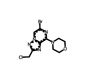 ClCc1nc2c(N3CCOCC3)nc(Br)cn2n1